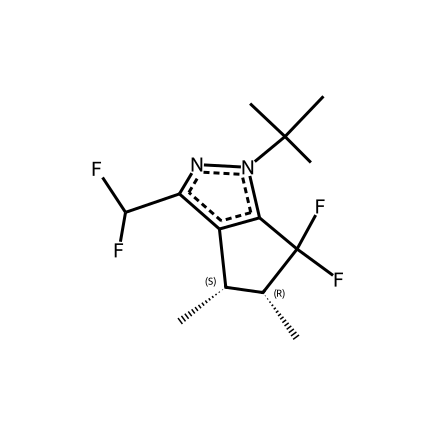 C[C@@H]1c2c(C(F)F)nn(C(C)(C)C)c2C(F)(F)[C@@H]1C